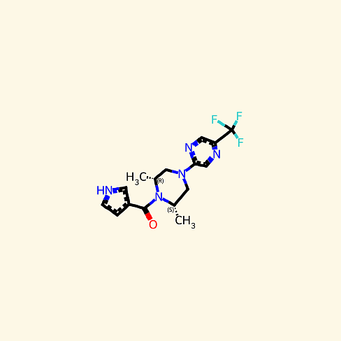 C[C@@H]1CN(c2cnc(C(F)(F)F)cn2)C[C@H](C)N1C(=O)c1cc[nH]c1